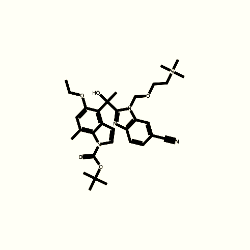 CCOc1cc(C)c2c(ccn2C(=O)OC(C)(C)C)c1C(C)(O)c1nc2ccc(C#N)cc2n1COCC[Si](C)(C)C